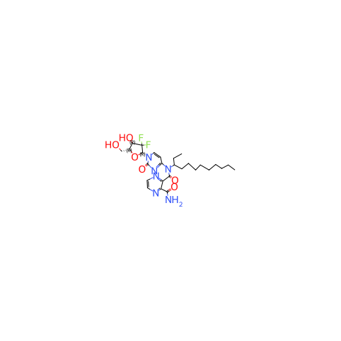 CCCCCCCCCC(CC)N(C(=O)c1nccnc1C(N)=O)c1ccn([C@@H]2O[C@H](CO)[C@@H](O)C2(F)F)c(=O)n1